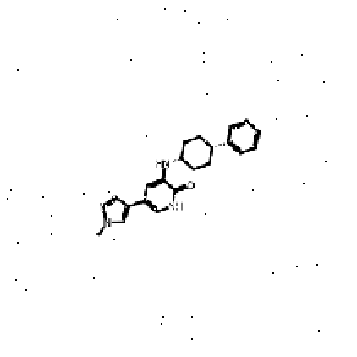 Cn1cc(-c2c[nH]c(=O)c(N[C@H]3CC[C@@H](c4ccccc4)CC3)c2)cn1